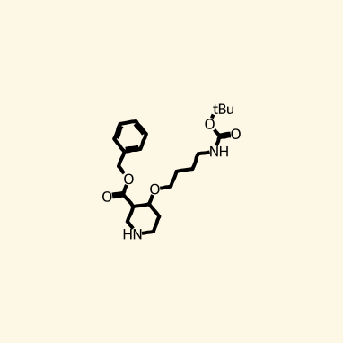 CC(C)(C)OC(=O)NCCCCOC1CCNCC1C(=O)OCc1ccccc1